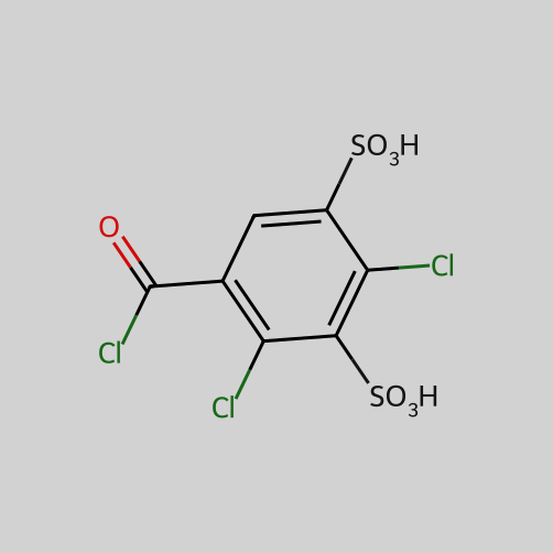 O=C(Cl)c1cc(S(=O)(=O)O)c(Cl)c(S(=O)(=O)O)c1Cl